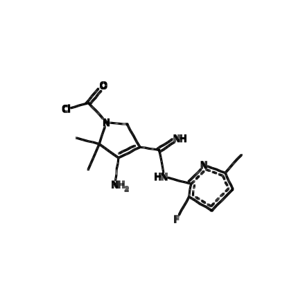 Cc1ccc(F)c(NC(=N)C2=C(N)C(C)(C)N(C(=O)Cl)C2)n1